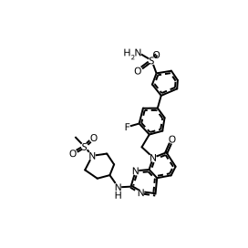 CS(=O)(=O)N1CCC(Nc2ncc3ccc(=O)n(Cc4ccc(-c5cccc(S(N)(=O)=O)c5)cc4F)c3n2)CC1